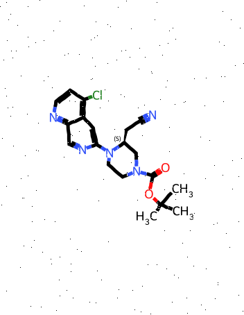 CC(C)(C)OC(=O)N1CCN(c2cc3c(Cl)ccnc3cn2)[C@@H](CC#N)C1